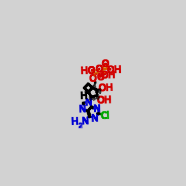 Nc1nc(Cl)nc2c1ncn2[C@H]1[C@H](O)[C@H](O)[C@]2(COP(=O)(O)OP(=O)(O)O)CC[C@H]12